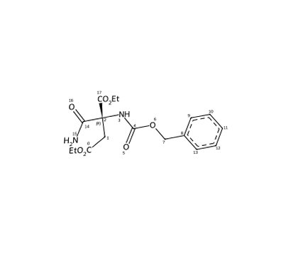 CCOC(=O)C[C@@](NC(=O)OCc1ccccc1)(C(N)=O)C(=O)OCC